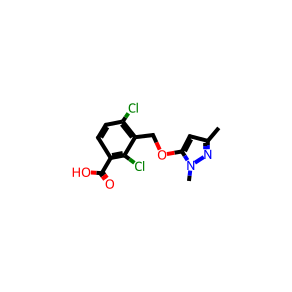 Cc1cc(OCc2c(Cl)ccc(C(=O)O)c2Cl)n(C)n1